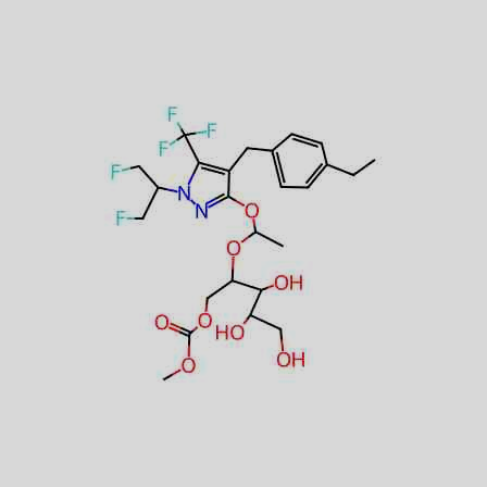 CCc1ccc(Cc2c(OC(C)OC(COC(=O)OC)C(O)C(O)CO)nn(C(CF)CF)c2C(F)(F)F)cc1